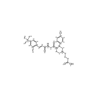 O=C(O)CCCN1CCN(C(=O)CNC(=O)/C=C/c2ccc(C(F)(F)F)cc2F)C(c2ccc(Cl)cc2)C1